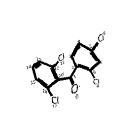 [O]C(c1ccc(Cl)cc1Cl)c1c(Cl)cccc1Cl